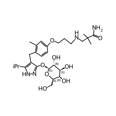 Cc1cc(OCCCNCC(C)(C)C(N)=O)ccc1Cc1c(O[C@@H]2O[C@H](CO)[C@H](O)[C@H](O)[C@H]2O)n[nH]c1C(C)C